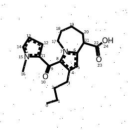 CCCCc1cc2n(c1C(=O)c1cccn1C)CCCCC2C(=O)O